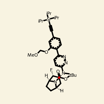 COCOc1cc(C#C[Si](C(C)C)(C(C)C)C(C)C)ccc1-c1ccc(N(C)[C@@H]2C[C@H]3CC[C@@H]([C@@H]2F)N3C(=O)OC(C)(C)C)nn1